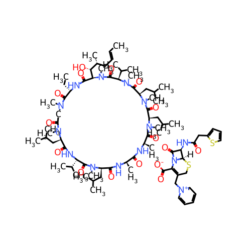 C/C=C/C[C@@H](C)[C@@H](O)[C@@H]1C(=O)N[C@@H](CC)C(=O)N(C)CC(=O)N(C)[C@H](CC(C)C)C(=O)N[C@@H](C(C)C)C(=O)N(C)[C@H](CC(C)C)C(=O)N[C@H](C)C(=O)N[C@H](C)C(=O)N(C)[C@H](CC(C)C)C(=O)N(C)[C@H](CC(C)C)C(=O)N(C)[C@H](C(C)C)C(=O)N1C.O=C(Cc1cccs1)N[C@@H]1C(=O)N2C(C(=O)[O-])=C(C[n+]3ccccc3)CS[C@H]12